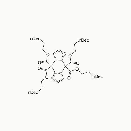 CCCCCCCCCCCCOC(=O)C1(C(=O)OCCCCCCCCCCCC)c2ccsc2C(C(=O)OCCCCCCCCCCCC)(C(=O)OCCCCCCCCCCCC)c2ccsc21